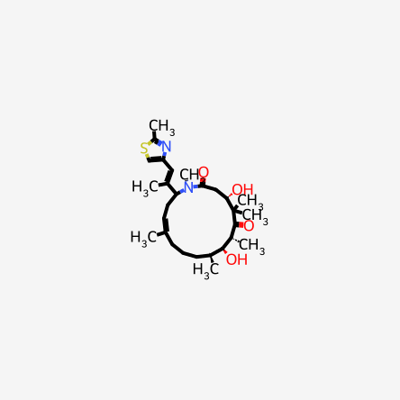 C/C1=C/CC(/C(C)=C/c2csc(C)n2)N(C)C(=O)C[C@H](O)C(C)(C)C(=O)[C@H](C)[C@@H](O)[C@@H](C)CCC1